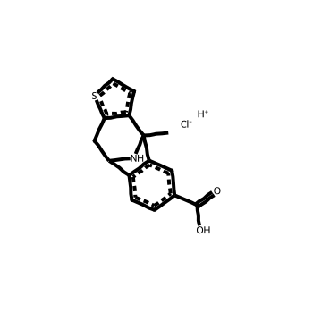 CC12NC(Cc3sccc31)c1ccc(C(=O)O)cc12.[Cl-].[H+]